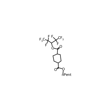 CCCCCOC(=O)C1CCC(C(=O)OC(C(F)(F)C(F)(F)F)C(F)(F)C(F)(F)F)CC1